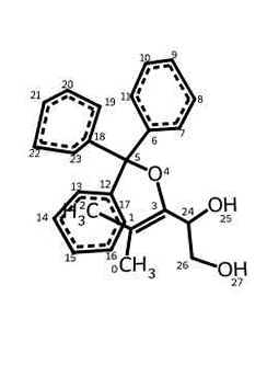 CC(C)=C(OC(c1ccccc1)(c1ccccc1)c1ccccc1)C(O)CO